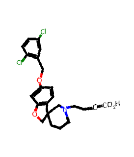 O=C(O)CCCN1CCCC2(COc3cc(OCc4cc(Cl)ccc4Cl)ccc32)C1